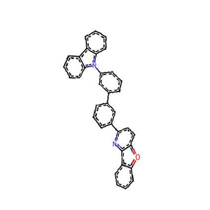 c1cc(-c2cccc(-n3c4ccccc4c4ccccc43)c2)cc(-c2ccc3oc4ccccc4c3n2)c1